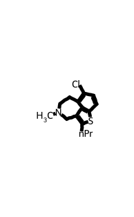 CCCc1sc2ccc(Cl)c3c2c1CN(C)CC3